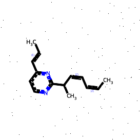 C/C=C\C=C/C(C)c1nccc(/C=C/C)n1